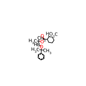 CC(C)(BOC(C)(C)c1ccccc1)OC(=O)C1CCCCC1C(=O)O